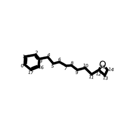 c1ccc(CCCCCCCCC2CCO2)cc1